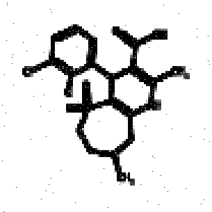 CC1=C(C(=O)O)C(c2cccc(Cl)c2Cl)C2=C(CN(C)CCS2(=O)=O)N1